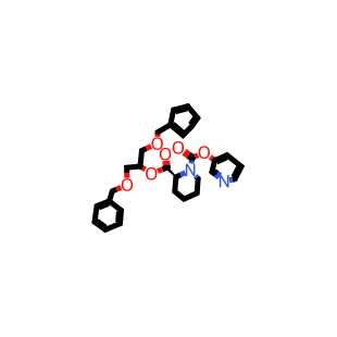 O=C(OC(COCc1ccccc1)COCc1ccccc1)[C@@H]1CCCCN1C(=O)Oc1cccnc1